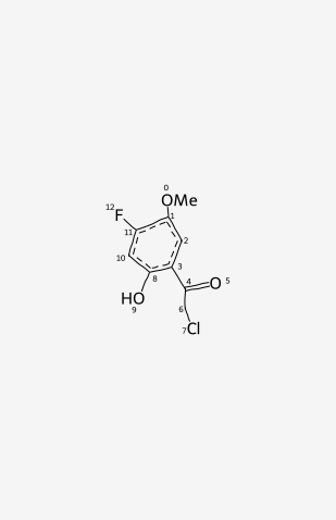 COc1cc(C(=O)CCl)c(O)cc1F